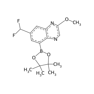 COc1cnc2c(B3OC(C)(C)C(C)(C)O3)cc(C(F)F)cc2n1